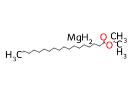 CCCCCCCCCCCCCCCCCC(=O)OC(C)C.[MgH2]